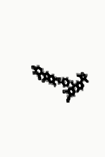 Cc1ccc(-c2c(C)noc2C)cc1N(C[C@H]1CC[C@H](CNc2cc3c(cc2F)C(=O)N(C2CCC(=O)NC2=O)C3)CC1)c1ccc(C#N)c(Cl)c1